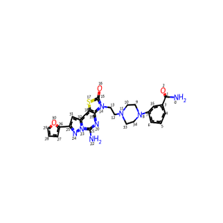 NC(=O)c1cccc(N2CCN(CCn3c(=O)sc4c3nc(N)n3nc(-c5ccco5)cc43)CC2)c1